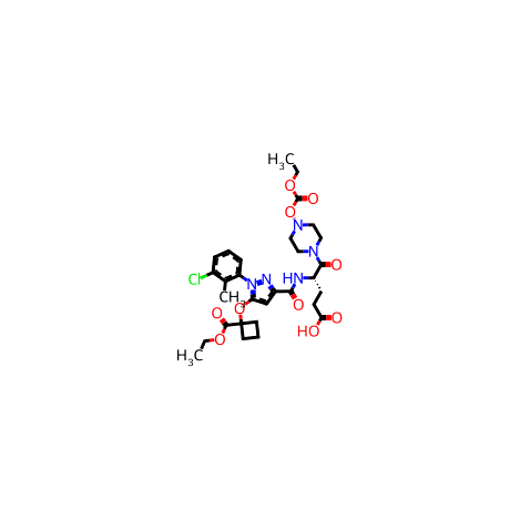 CCOC(=O)ON1CCN(C(=O)[C@H](CCC(=O)O)NC(=O)c2cc(OC3(C(=O)OCC)CCC3)n(-c3cccc(Cl)c3C)n2)CC1